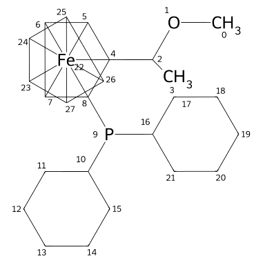 COC(C)[C]12[CH]3[CH]4[CH]5[C]1(P(C1CCCCC1)C1CCCCC1)[Fe]43521678[CH]2[CH]1[CH]6[CH]7[CH]28